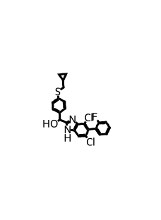 OC(c1ccc(SCC2CC2)cc1)c1nc2c(Cl)c(-c3ccccc3F)c(Cl)cc2[nH]1